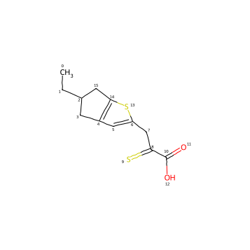 CCC1Cc2cc(CC(=S)C(=O)O)sc2C1